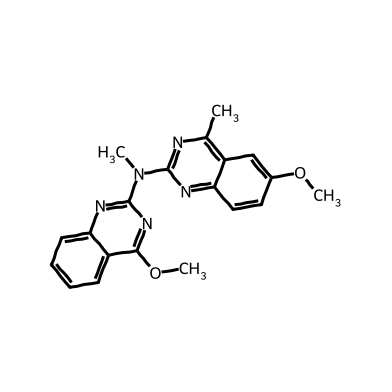 COc1ccc2nc(N(C)c3nc(OC)c4ccccc4n3)nc(C)c2c1